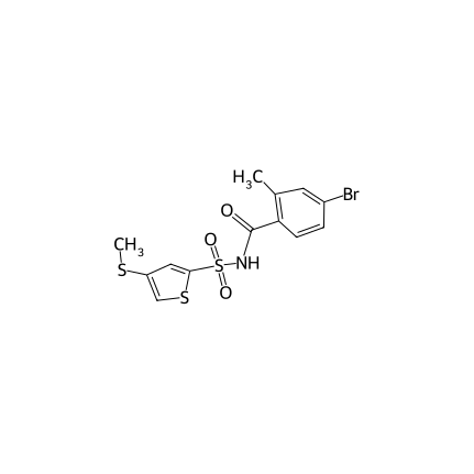 CSc1csc(S(=O)(=O)NC(=O)c2ccc(Br)cc2C)c1